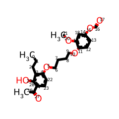 CCCc1c(OCCCCOc2ccc(OC=O)cc2OC)ccc(C(C)=O)c1O